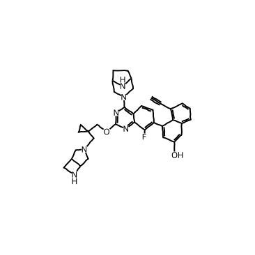 C#Cc1cccc2cc(O)cc(-c3ccc4c(N5CC6CCC(C5)N6)nc(OCC5(CN6CC7CNC7C6)CC5)nc4c3F)c12